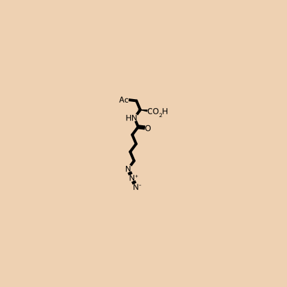 CC(=O)C[C@H](NC(=O)CCCCN=[N+]=[N-])C(=O)O